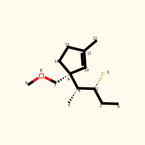 CC[C@@H](F)[C@H](C)[C@]1(COC)C=C(C)CC1